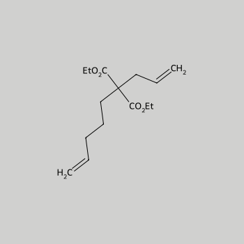 C=CCCCC(CC=C)(C(=O)OCC)C(=O)OCC